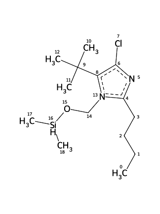 CCCCc1nc(Cl)c(C(C)(C)C)n1CO[SiH](C)C